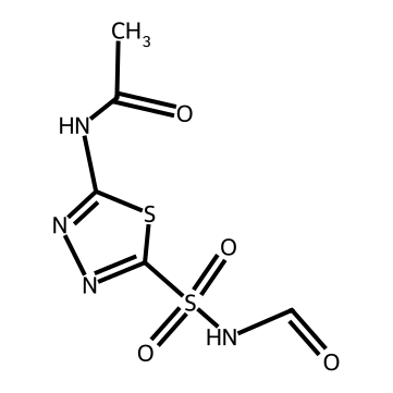 CC(=O)Nc1nnc(S(=O)(=O)NC=O)s1